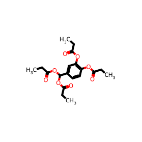 CCC(=O)Oc1ccc(C(OC(=O)CC)OC(=O)CC)cc1OC(=O)CC